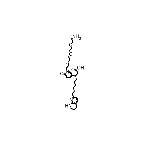 NCCOCCOCCOCCn1cc([C@@H](CCCCCCc2ccc3c(n2)NCCC3)CC(=O)O)ccc1=O